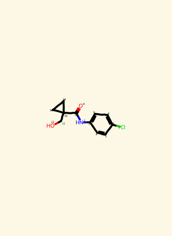 O=C(Nc1ccc(Cl)cc1)C1(CO)CC1